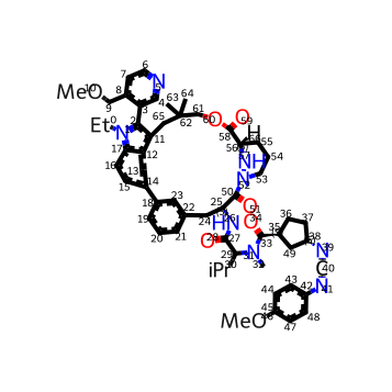 CCn1c(-c2cnccc2COC)c2c3cc(ccc31)-c1cccc(c1)C[C@H](NC(=O)C(C(C)C)N(C)C(=O)[C@H]1CC[C@H](N=C=Nc3ccc(OC)cc3)C1)C(=O)N1CCC[C@H](N1)C(=O)OCC(C)(C)C2